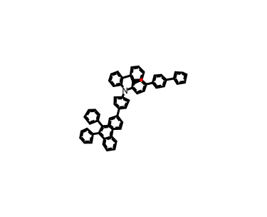 c1ccc(-c2ccc(-c3ccc(N(c4ccc(-c5ccc6c(c5)c(-c5ccccc5)c(-c5ccccc5)c5ccccc56)cc4)c4ccccc4-c4ccccc4)cc3)cc2)cc1